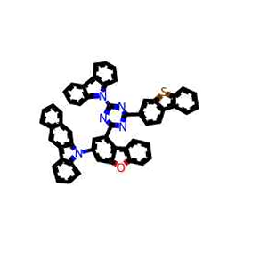 c1ccc2cc3c(cc2c1)c1ccccc1n3-c1cc(-c2nc(-c3ccc4c(c3)sc3ccccc34)nc(-n3c4ccccc4c4ccccc43)n2)c2c(c1)oc1ccccc12